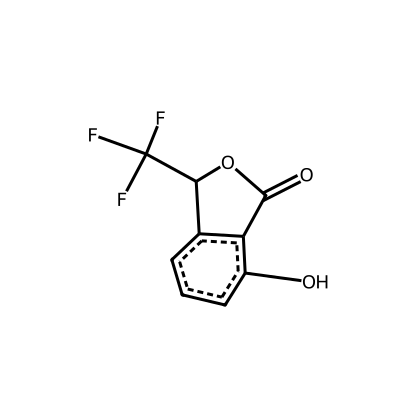 O=C1OC(C(F)(F)F)c2cccc(O)c21